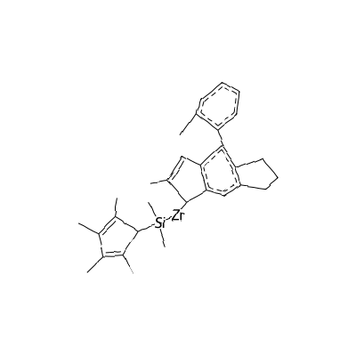 CC1=Cc2c(cc3c(c2-c2ccccc2C)CCC3)[CH]1[Zr][Si](C)(C)C1C(C)=C(C)C(C)=C1C